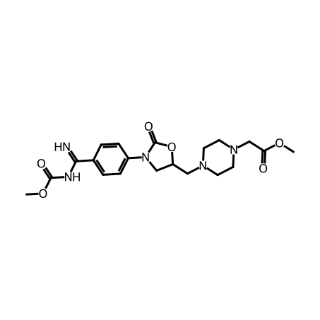 COC(=O)CN1CCN(CC2CN(c3ccc(C(=N)NC(=O)OC)cc3)C(=O)O2)CC1